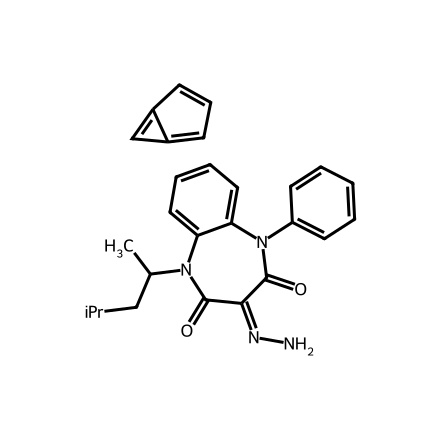 CC(C)CC(C)n1c(=O)c(=NN)c(=O)n(-c2ccccc2)c2ccccc21.c1cc2cc-2c1